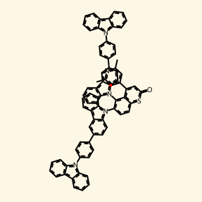 Cc1cc(-c2cc(=O)sc3ccc(-n4c5ccccc5c5cc(-c6ccc(-n7c8ccccc8c8ccccc87)cc6)ccc54)c(-n4c5ccccc5c5cc(-c6ccc(-n7c8ccccc8c8ccccc87)cc6)ccc54)c23)cc(C)n1